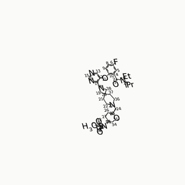 CCN(C(=O)c1cc(F)ccc1Oc1cncnc1N1CC2(CCN(C[C@@H]3CC[C@@H](NS(C)(=O)=O)CO3)CC2)C1)C(C)C